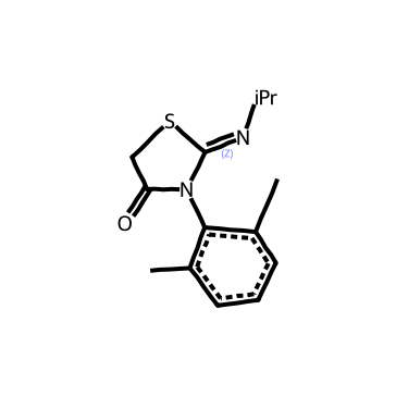 Cc1cccc(C)c1N1C(=O)CS/C1=N\C(C)C